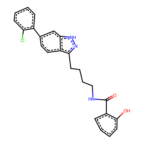 O=C(NCCCCc1n[nH]c2cc(-c3ccccc3Cl)ccc12)c1ccccc1O